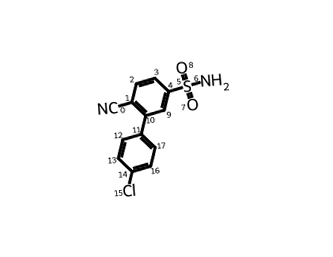 N#Cc1ccc(S(N)(=O)=O)cc1-c1ccc(Cl)cc1